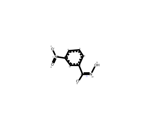 O=[N+]([O-])c1cccc(/C(Cl)=N\O)c1